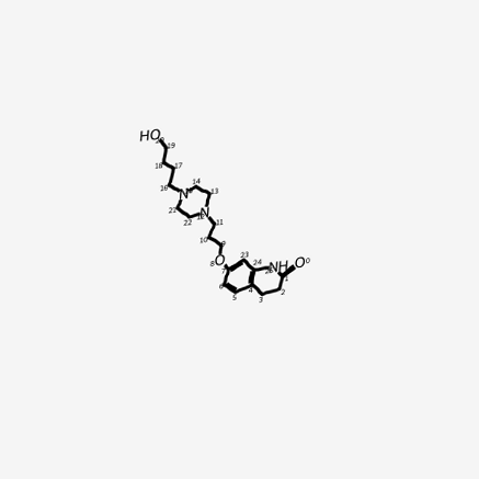 O=C1CCc2ccc(OCCCN3CCN(CCCCO)CC3)cc2N1